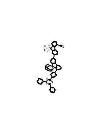 CC1(C)c2cc(-c3ccc4c(c3)-c3cccc(-c5ccc(-c6nc(-c7ccccc7)nc(-c7ccccc7)n6)cc5)c3C43C4CC5CC(C4)CC3C5)ccc2-c2c(C#N)cccc21